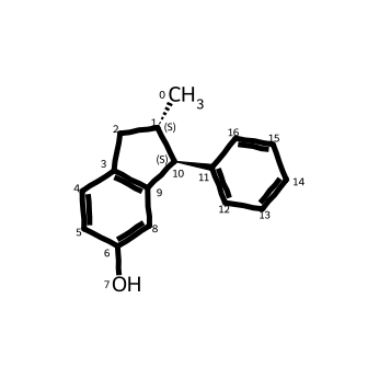 C[C@H]1Cc2ccc(O)cc2[C@@H]1c1ccccc1